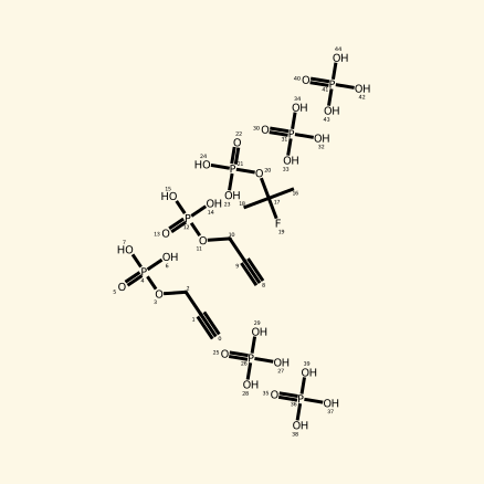 C#CCOP(=O)(O)O.C#CCOP(=O)(O)O.CC(C)(F)OP(=O)(O)O.O=P(O)(O)O.O=P(O)(O)O.O=P(O)(O)O.O=P(O)(O)O